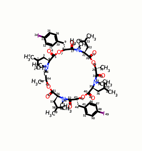 CC(C)C[C@H]1C(=O)O[C@H](Cc2ccc(I)cc2)C(=O)N(C)[C@@H](CC(C)C)C(=O)O[C@H](C)C(=O)N(C)[C@@H](CC(C)C)C(=O)O[C@H](Cc2ccc(I)cc2)C(=O)N(C)[C@@H](CC(C)C)C(=O)O[C@H](C)CN1C